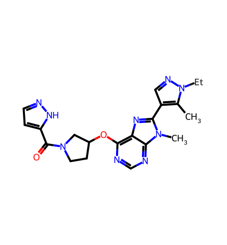 CCn1ncc(-c2nc3c(OC4CCN(C(=O)c5ccn[nH]5)C4)ncnc3n2C)c1C